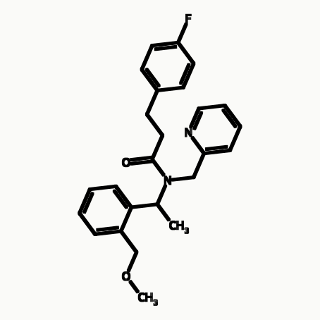 COCc1ccccc1C(C)N(Cc1ccccn1)C(=O)CCc1ccc(F)cc1